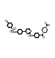 CC(=O)N1CCN(C(=O)c2ccc(Nc3nccc(-c4ccc(NS(=O)(=O)c5ccc(Cl)cc5)cc4)n3)cc2)CC1